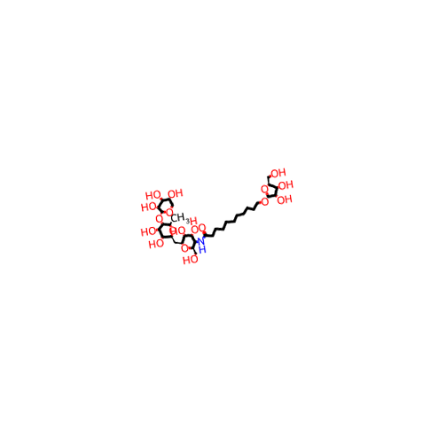 C[C@H]1O[C@@H](C[C@@H]2O[C@H](CO)C(NC(=O)CCCCCCCCCCO[C@@H]3O[C@@H](CO)C(O)C3O)C(O)C2O)C(O)C(O)C1O[C@@H]1OC[C@@H](O)C(O)C1O